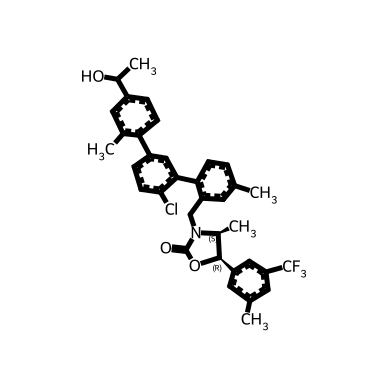 Cc1cc([C@H]2OC(=O)N(Cc3cc(C)ccc3-c3cc(-c4ccc(C(C)O)cc4C)ccc3Cl)[C@H]2C)cc(C(F)(F)F)c1